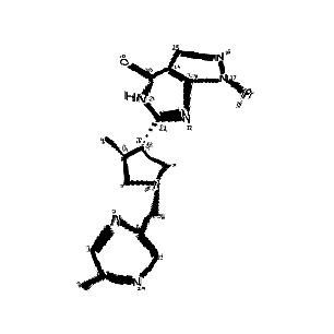 Cc1cnc(CN2C[C@@H](C)[C@H](c3nc4c(cnn4C(C)C)c(=O)[nH]3)C2)cn1